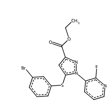 CCOC(=O)c1cc(Sc2cccc(Br)c2)n(-c2cccnc2F)n1